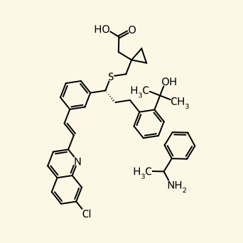 CC(C)(O)c1ccccc1CC[C@@H](SCC1(CC(=O)O)CC1)c1cccc(/C=C/c2ccc3ccc(Cl)cc3n2)c1.CC(N)c1ccccc1